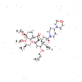 C=CCOc1cc(OCC=C)c(C(=O)c2ccc(OC)c(OC)c2)c(CC(=O)N2CCC(N3CCOCC3)CC2)c1CC